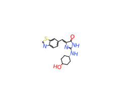 O=C1NC(N[C@H]2CC[C@H](O)CC2)=N/C1=C\c1ccc2ncsc2c1